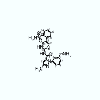 NCc1cccc(-n2nc(C(F)(F)F)cc2C(=O)NC2=NC=C(c3ccccc3S(N)(=O)=O)CN2)c1